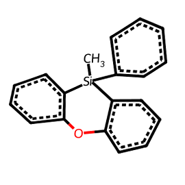 C[Si]1(c2ccccc2)c2ccccc2Oc2ccccc21